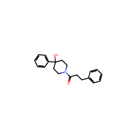 O=C(CCc1ccccc1)N1CCC(O)(c2ccccc2)CC1